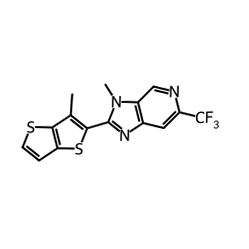 Cc1c(-c2nc3cc(C(F)(F)F)ncc3n2C)sc2ccsc12